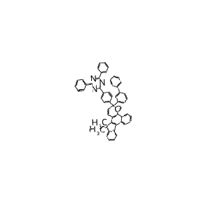 CC1(C)c2ccccc2-c2c1c1c(c3ccccc23)OC(c2ccc(-c3nc(-c4ccccc4)nc(-c4ccccc4)n3)cc2)(c2cccc(-c3ccccc3)c2)C=C1